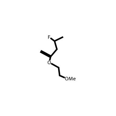 C=C(CC(C)F)OCCOC